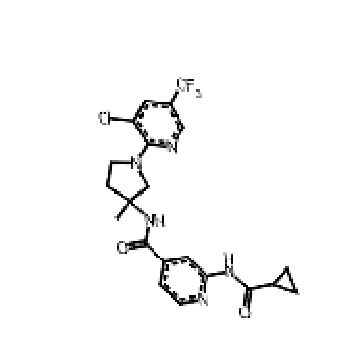 CC1(NC(=O)c2ccnc(NC(=O)C3CC3)c2)CCN(c2ncc(C(F)(F)F)cc2Cl)C1